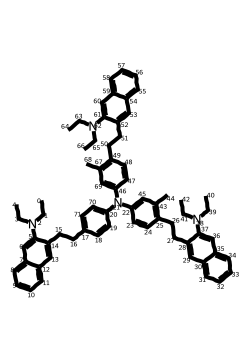 CCN(CC)c1cc2ccccc2cc1CCc1ccc(N(c2ccc(CCc3cc4ccccc4cc3N(CC)CC)c(C)c2)c2ccc(CCc3cc4ccccc4cc3N(CC)CC)c(C)c2)cc1